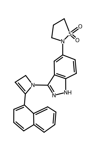 O=S1(=O)CCCN1c1ccc2[nH]nc(N3CC=C3c3cccc4ccccc34)c2c1